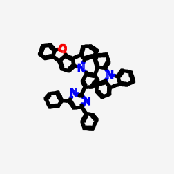 c1ccc(-c2cc(-c3ccccc3)nc(-c3ccc(-c4ccccc4-n4c5ccccc5c5ccccc54)c(-n4c5ccccc5c5c6oc7ccccc7c6ccc54)c3)n2)cc1